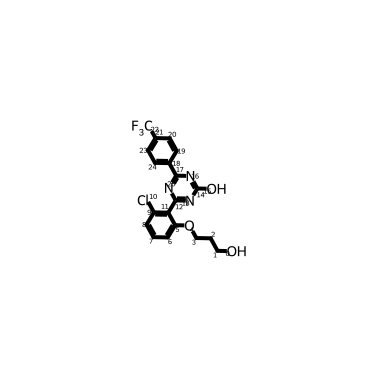 OCCCOc1cccc(Cl)c1-c1nc(O)nc(-c2ccc(C(F)(F)F)cc2)n1